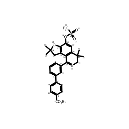 CCOC(=O)c1ccc(-c2cccc(C3=NCC(C)(C)c4cc(OS(=O)(=O)C(F)(F)F)c5c(c43)CC(C)(C)O5)c2)cc1